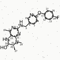 Cc1nc(NCc2ccc(Oc3ccc(F)cc3)nc2)nc2c1NC(O)[C@H](C)N2C